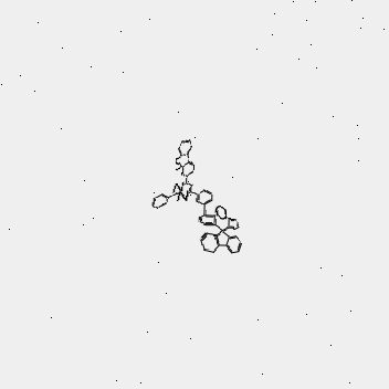 C1=CC2=C(CC1)c1ccccc1C21c2ccccc2Oc2c(-c3cccc(-c4cc(-c5ccc6c(c5)sc5ccccc56)nc(-c5ccccc5)n4)c3)cccc21